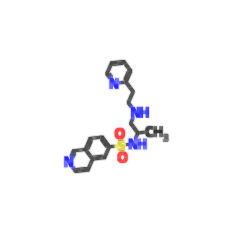 CC(CNCCc1ccccn1)NS(=O)(=O)c1ccc2cnccc2c1